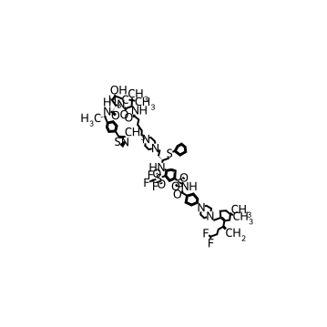 C=C(CCC(F)F)C1=C(CN2CCN(c3ccc(C(=O)NS(=O)(=O)c4ccc(N[C@H](CCN5CCN(CCCCC(=O)N[C@H](C(=O)N6C[C@H](O)C[C@H]6C(=O)N[C@@H](C)c6ccc(-c7scnc7C)cc6)C(C)(C)C)CC5)CSc5ccccc5)c(S(=O)(=O)C(F)(F)F)c4)cc3)CC2)CCC(C)(C)C1